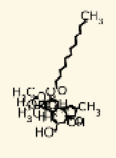 CCCCCCCCCCCCCC(=O)O[C@@H]1C[C@@]2(O)[C@@H](C=C(CO)C[C@]3(O)C(=O)C(C)=C[C@@H]23)[C@@H]2C(C)(C)[C@@]21OC(C)=O